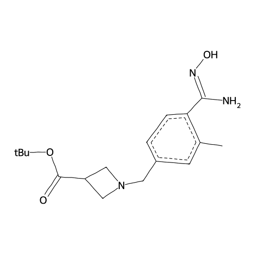 Cc1cc(CN2CC(C(=O)OC(C)(C)C)C2)ccc1/C(N)=N/O